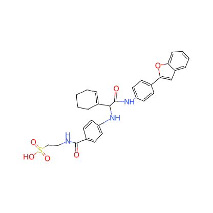 O=C(NCCS(=O)(=O)O)c1ccc(NC(C(=O)Nc2ccc(-c3cc4ccccc4o3)cc2)C2=CCCCC2)cc1